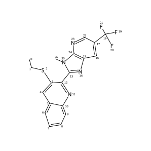 CCSc1cc2ccccc2nc1-c1nc2cc(C(F)(F)F)cnc2n1C